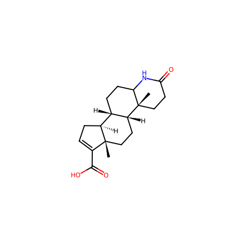 C[C@]12CCC(=O)NC1CC[C@@H]1[C@H]2CC[C@]2(C)C(C(=O)O)=CC[C@@H]12